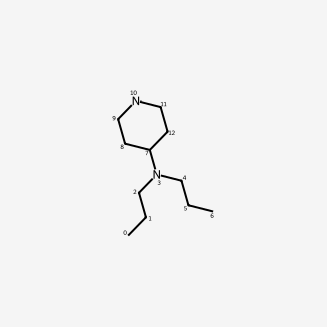 CCCN(CCC)C1CC[N]CC1